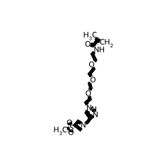 C=C(C)C(=O)NCCOCCOCCOCCn1cc(CN2CC(S(C)(=O)=O)C2)nn1